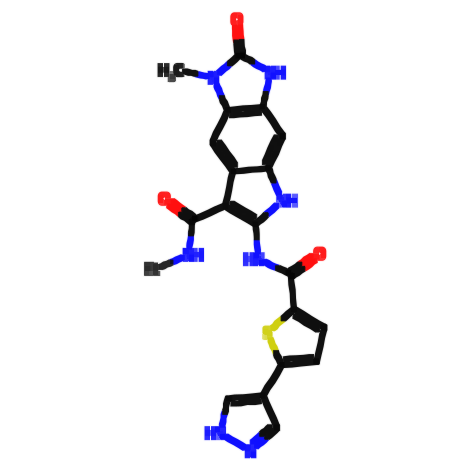 CCNC(=O)c1c(NC(=O)c2ccc(-c3cn[nH]c3)s2)[nH]c2cc3[nH]c(=O)n(C)c3cc12